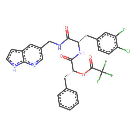 O=C(NCc1cnc2[nH]ccc2c1)[C@H](Cc1ccc(Cl)c(Cl)c1)NC(=O)[C@@H](Cc1ccccc1)OC(=O)C(F)(F)F